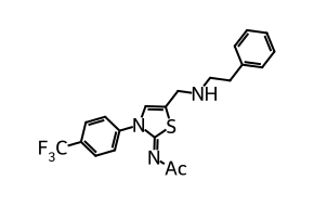 CC(=O)/N=c1\sc(CNCCc2ccccc2)cn1-c1ccc(C(F)(F)F)cc1